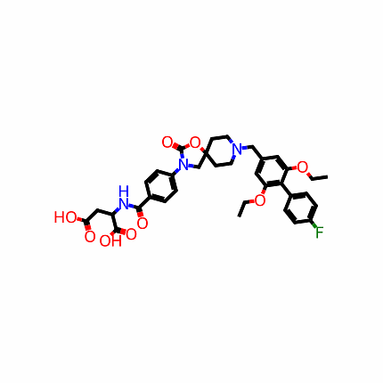 CCOc1cc(CN2CCC3(CC2)CN(c2ccc(C(=O)NC(CC(=O)O)C(=O)O)cc2)C(=O)O3)cc(OCC)c1-c1ccc(F)cc1